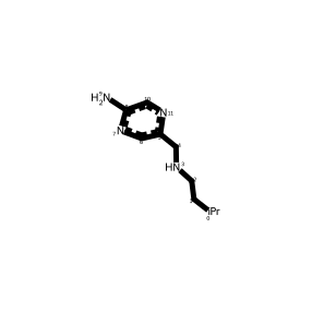 CC(C)CCNCc1cnc(N)cn1